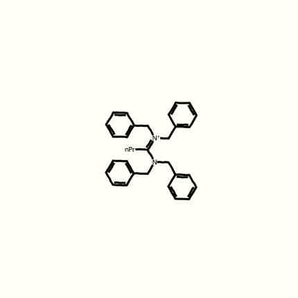 CCCC(N(Cc1ccccc1)Cc1ccccc1)=[N+](Cc1ccccc1)Cc1ccccc1